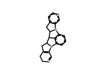 C1=NCCC2=C1N1c3cccc4c3C(C1C2)C1Cc2ccncc2N41